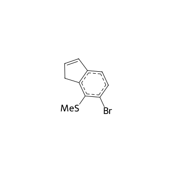 CSc1c(Br)ccc2c1CC=C2